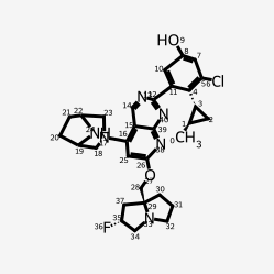 C[C@@H]1C[C@H]1c1c(Cl)cc(O)cc1-c1ncc2c(N3CC4CCC(C3)N4)cc(OC[C@@]34CCCN3C[C@H](F)C4)nc2n1